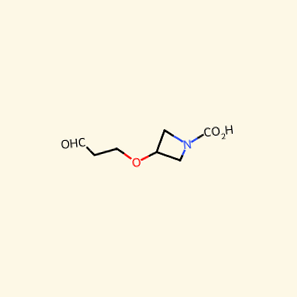 O=CCCOC1CN(C(=O)O)C1